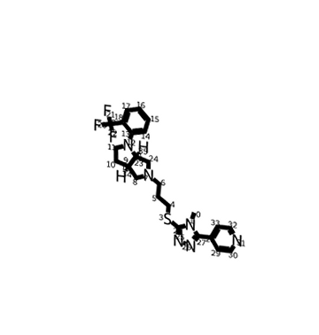 Cn1c(SCCCN2C[C@@H]3CCN(c4ccccc4C(F)(F)F)[C@@H]3C2)nnc1-c1ccncc1